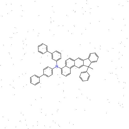 CC1(c2ccccc2)c2ccccc2-c2cc3ccc4c(N(c5ccc(-c6ccccc6)cc5)c5cccc(-c6ccccc6)c5)cccc4c3cc21